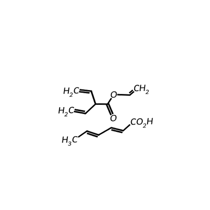 C=COC(=O)C(C=C)C=C.CC=CC=CC(=O)O